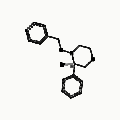 Br[C@@]1(c2ccccc2)COCCN1OCc1ccccc1